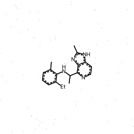 CCc1cccc(C)c1NC(C)c1nccc2[nH]c(C)nc12